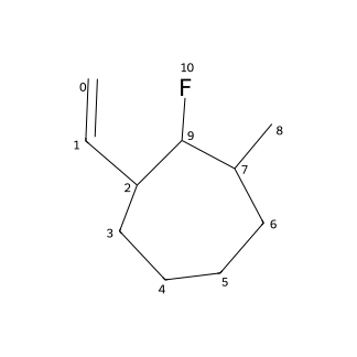 C=CC1CCCCC(C)C1F